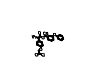 CC(C)C(C(=O)OC(C#N)c1cccc(Oc2ccccc2)c1)c1ccc(OCC(Cl)Cl)cc1